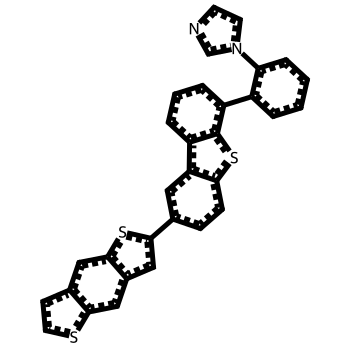 c1ccc(-n2ccnc2)c(-c2cccc3c2sc2ccc(-c4cc5cc6sccc6cc5s4)cc23)c1